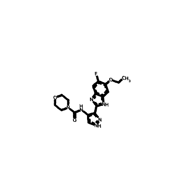 CCOc1cc2[nH]c(-c3n[nH]cc3NC(=O)N3CCOCC3)nc2cc1F